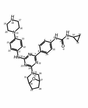 O=C(Nc1ccc(-c2nc(Nc3ccc(N4CCNCC4)cc3)nc(N3CC4CCC(C3)O4)n2)cc1)NC1CC1